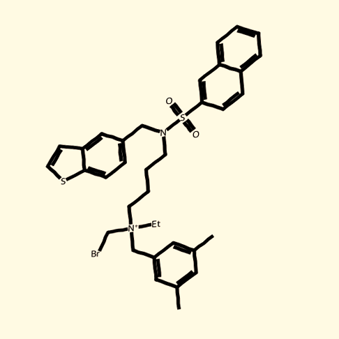 CC[N+](CBr)(CCCCN(Cc1ccc2sccc2c1)S(=O)(=O)c1ccc2ccccc2c1)Cc1cc(C)cc(C)c1